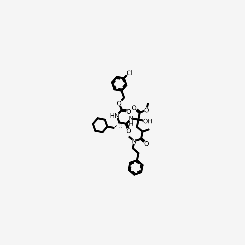 COC(=O)C(O)(CC(C)C(=O)N(C)CCc1ccccc1)NC(=O)[C@H](CC1CCCCC1)NC(=O)OCc1cccc(Cl)c1